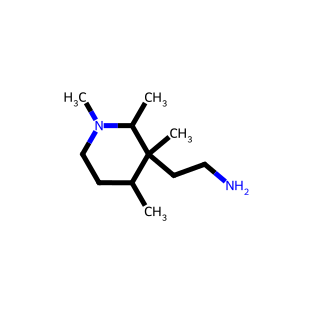 CC1CCN(C)C(C)C1(C)CCN